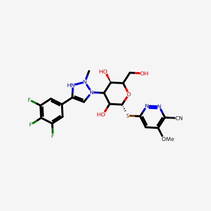 COc1cc(S[C@H]2OC(CO)[C@H](O)C(N3C=C(c4cc(F)c(F)c(F)c4)NN3C)C2O)nnc1C#N